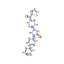 O=C(c1nccs1)N1CCN(C2CC(=O)N(c3ccc(-c4ccncc4)cc3)C2)CC1